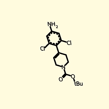 CC(C)(C)OC(=O)N1CC=C(c2c(Cl)cc(N)cc2Cl)CC1